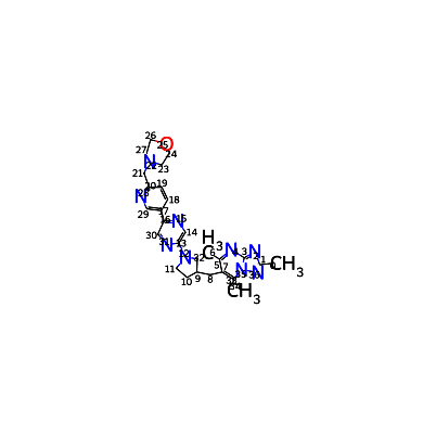 Cc1nc2nc(C)c(CC3CCN(c4cnc(-c5ccc(CN6CCOCC6)nc5)cn4)C3)c(C)n2n1